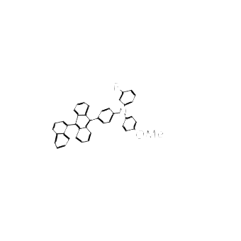 COc1ccc(N(c2ccc(-c3c4ccccc4c(-c4cccc5ccccc45)c4ccccc34)cc2)c2cccc(F)c2)cc1